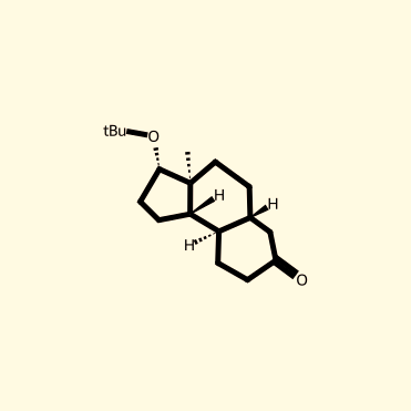 CC(C)(C)O[C@H]1CC[C@H]2[C@@H]3CCC(=O)C[C@H]3CC[C@]12C